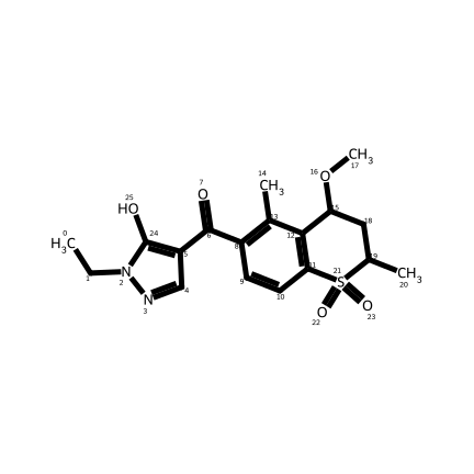 CCn1ncc(C(=O)c2ccc3c(c2C)C(OC)CC(C)S3(=O)=O)c1O